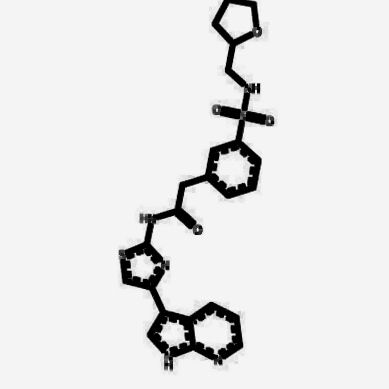 O=C(Cc1cccc(S(=O)(=O)NCC2CCCO2)c1)Nc1nc(-c2c[nH]c3ncccc23)cs1